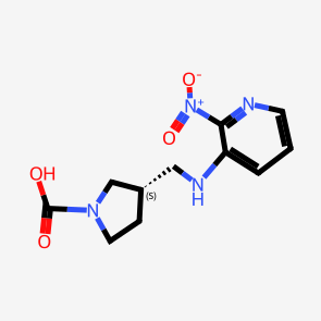 O=C(O)N1CC[C@@H](CNc2cccnc2[N+](=O)[O-])C1